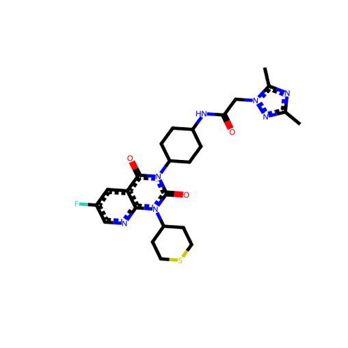 Cc1nc(C)n(CC(=O)NC2CCC(n3c(=O)c4cc(F)cnc4n(C4CCSCC4)c3=O)CC2)n1